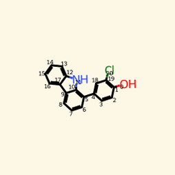 Oc1ccc(-c2cccc3c2[nH]c2ccccc23)cc1Cl